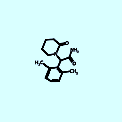 Cc1cccc(C)c1C(C(N)=O)N1CCCCC1=O